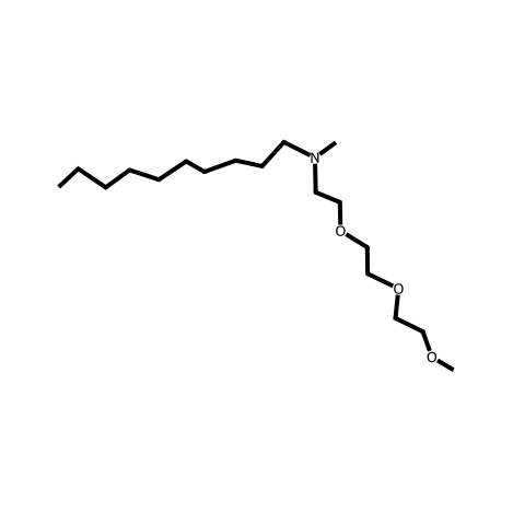 CCCCCCCCCCN(C)CCOCCOCCOC